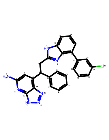 Nc1cc(C(Cc2nc3c(-c4cccc(Cl)c4)cccc3[nH]2)c2ccccc2)c2nn[nH]c2n1